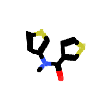 CN(C(=O)c1ccsc1)c1ccsc1